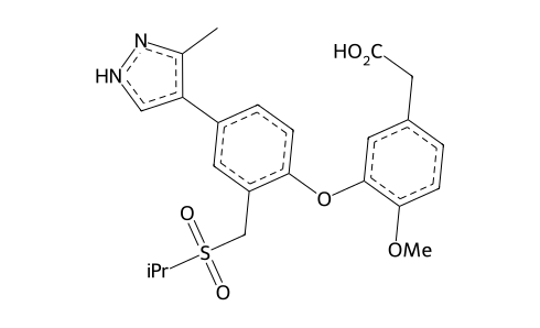 COc1ccc(CC(=O)O)cc1Oc1ccc(-c2c[nH]nc2C)cc1CS(=O)(=O)C(C)C